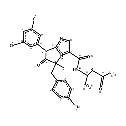 CC1(Cc2ccc(C#N)cc2)C(=O)N(c2cc(Cl)cc(Cl)c2)c2ncc(C(=O)NC(CC(N)=O)C(=O)O)n21